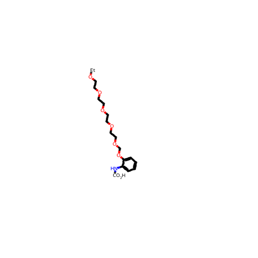 CCOCCOCCOCCOCCOCOc1ccccc1NC(=O)O